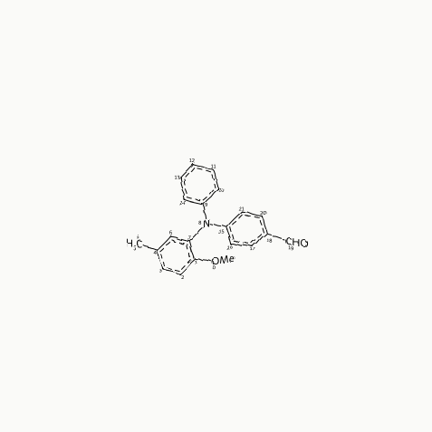 COc1ccc(C)cc1N(c1ccccc1)c1ccc(C=O)cc1